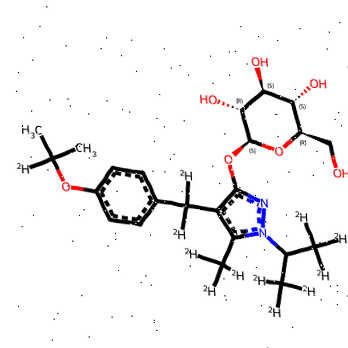 [2H]C(C)(C)Oc1ccc(C([2H])([2H])c2c(O[C@@H]3O[C@H](CO)[C@@H](O)[C@H](O)[C@H]3O)nn(C(C([2H])([2H])[2H])C([2H])([2H])[2H])c2C([2H])([2H])[2H])cc1